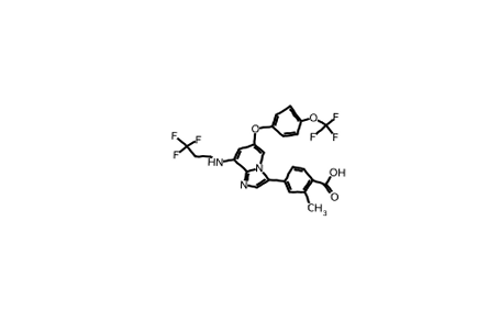 Cc1cc(-c2cnc3c(NCCC(F)(F)F)cc(Oc4ccc(OC(F)(F)F)cc4)cn23)ccc1C(=O)O